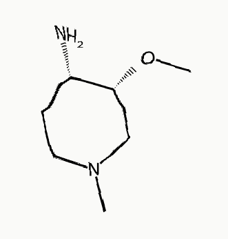 CO[C@@H]1CN(C)CC[C@@H]1N